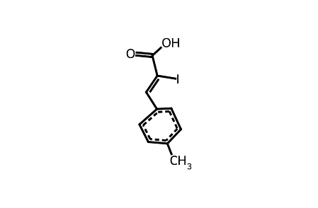 Cc1ccc(C=C(I)C(=O)O)cc1